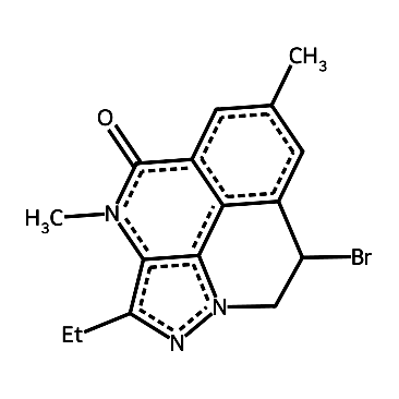 CCc1nn2c3c4c(cc(C)cc4c(=O)n(C)c13)C(Br)C2